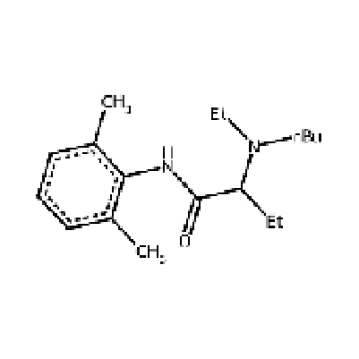 CCCCN(CC)C(CC)C(=O)Nc1c(C)cccc1C